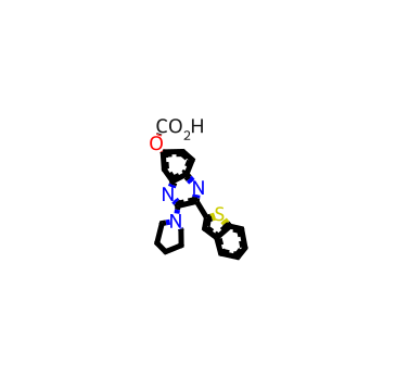 O=C(O)Oc1ccc2nc(-c3cc4ccccc4s3)c(N3CCCCC3)nc2c1